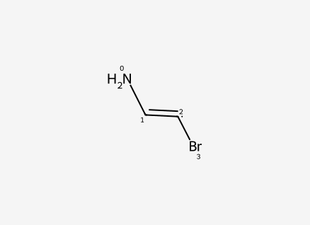 NC=[C]Br